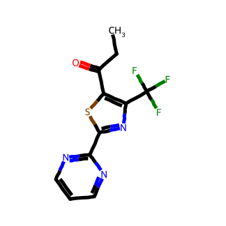 CCC(=O)c1sc(-c2ncccn2)nc1C(F)(F)F